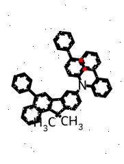 CC1(C)c2ccc(N(c3ccc(-c4ccccc4)cc3)c3ccccc3-c3ccccc3)cc2-c2cc(-c3ccccc3)c3ccccc3c21